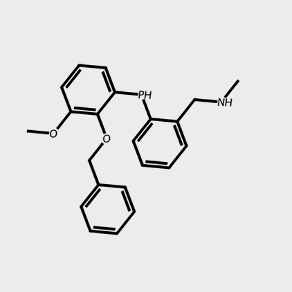 CNCc1ccccc1Pc1cccc(OC)c1OCc1ccccc1